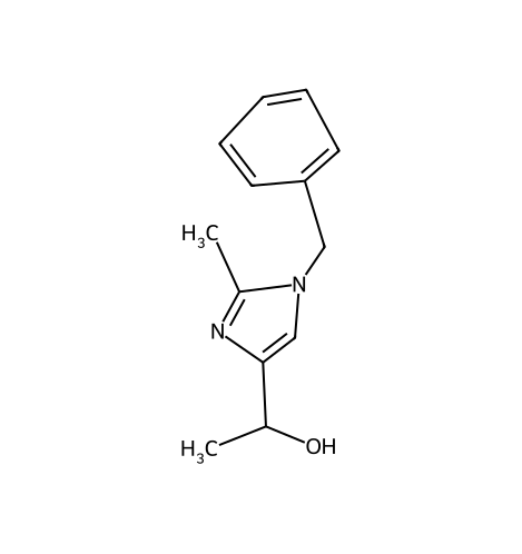 Cc1nc(C(C)O)cn1Cc1ccccc1